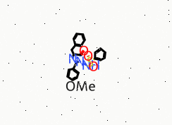 COc1ccc(C2=NC(Cc3ccccc3)C(=O)N2NS(=O)(=O)c2ccccc2)cc1